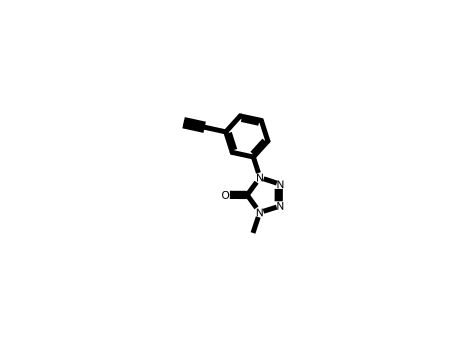 C#Cc1cccc(-n2nnn(C)c2=O)c1